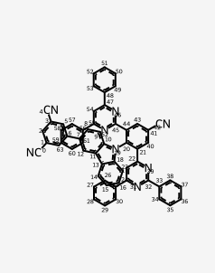 N#Cc1cc(C#N)cc(-c2ccc3c(c2)c2ccccc2n3-c2c(-c3cc(-c4ccccc4)nc(-c4ccccc4)n3)cc(C#N)cc2-c2nc(-c3ccccc3)cc(-c3ccccc3)n2)c1